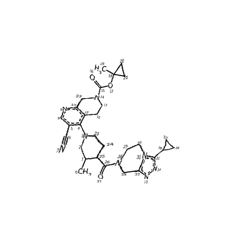 CC1CN(c2c(C#N)cnc3c2CCN(C(=O)OC2(C)CC2)C3)CCC1C(=O)N1CCn2c(nnc2C2CC2)C1